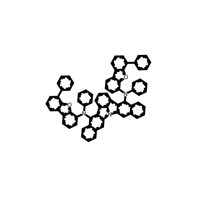 c1ccc(-c2cccc3c2oc2c(N(c4ccccc4)c4c5ccccc5cc5c4c4cccc6c7c(N(c8ccccc8)c8cccc9c8oc8c(-c%10ccccc%10)cccc89)c8ccccc8cc7n5c46)cccc23)cc1